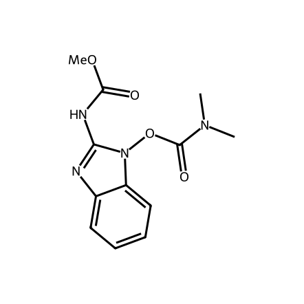 COC(=O)Nc1nc2ccccc2n1OC(=O)N(C)C